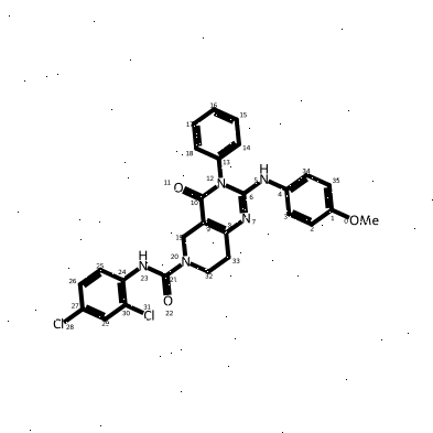 COc1ccc(Nc2nc3c(c(=O)n2-c2ccccc2)CN(C(=O)Nc2ccc(Cl)cc2Cl)CC3)cc1